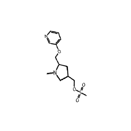 CN1CC(COS(C)(=O)=O)CC1COc1cccnc1